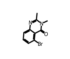 Cc1nc2cccc(Br)c2c(=O)n1C